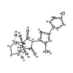 Cc1sc(-c2ccc(Cl)nc2)nc1C1C(=O)[C@@H]2[C@H](C1=O)[C@H]1CC[C@@H]2O1